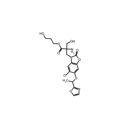 CC(Oc1cc2oc(=O)n(CC(N)(CO)C(=O)OCCCO)c2cc1Cl)c1ncco1